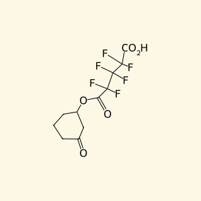 O=C1CCCC(OC(=O)C(F)(F)C(F)(F)C(F)(F)C(=O)O)C1